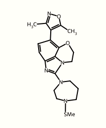 CSN1CCCN(c2nc3ccc(-c4c(C)noc4C)c4c3n2CCO4)CC1